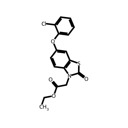 CCOC(=O)Cn1c(=O)sc2cc(Oc3ccccc3Cl)ccc21